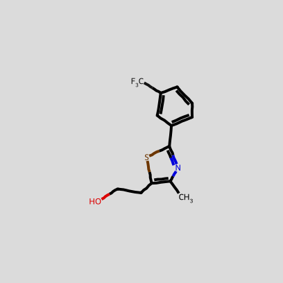 Cc1nc(-c2cccc(C(F)(F)F)c2)sc1CCO